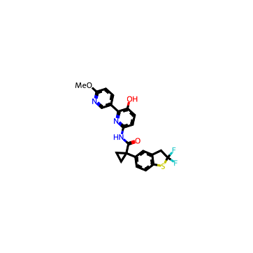 COc1ccc(-c2nc(NC(=O)C3(c4ccc5c(c4)CC(F)(F)S5)CC3)ccc2O)cn1